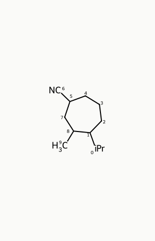 CC(C)C1CCCC(C#N)CC1C